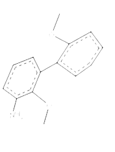 COc1ccccc1-c1cccc(N)c1OC